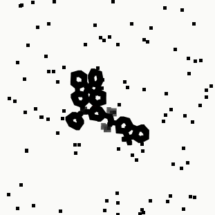 [2H]/C(=C(/[2H])c1ccc2c(c1)C(C)(C)c1ccccc1-2)c1ccc(N(c2ccccc2)c2ccc3c(c2)C2(c4ccccc4-c4ccccc42)c2ccccc2-3)cc1